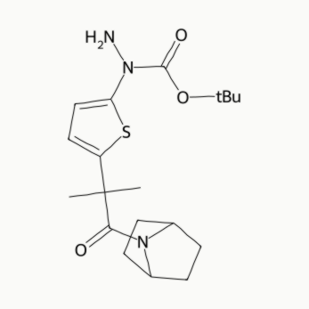 CC(C)(C)OC(=O)N(N)c1ccc(C(C)(C)C(=O)N2C3CCC2CC3)s1